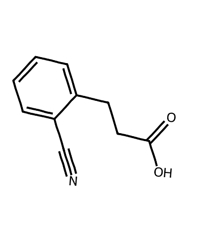 N#Cc1ccccc1CCC(=O)O